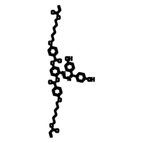 C=CC(=O)OCCCCCCOc1ccc(C(=O)Oc2ccc(OC(=O)c3ccc(OCCCCCCOC(=O)C=C)cc3)c(/N=C/N=C(c3ccc(O)cc3)c3ccc(O)cc3)c2)cc1